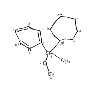 CCO[Si](C)(c1cccnn1)C1CCCCC1